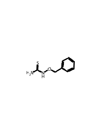 NC(=S)NOCc1ccccc1